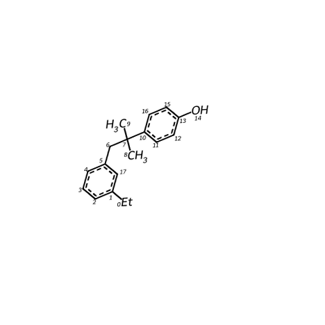 CCc1cccc(CC(C)(C)c2ccc(O)cc2)c1